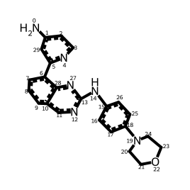 Nc1ccnc(-c2cccc3cnc(Nc4ccc(N5CCOCC5)cc4)nc23)c1